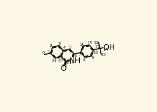 Cc1ccc2cc(-c3ccc(C(C)(C)O)cc3)[nH]c(=O)c2c1